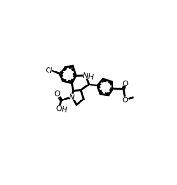 COC(=O)c1ccc(C2Nc3ccc(Cl)cc3C3C2CCN3C(=O)O)cc1